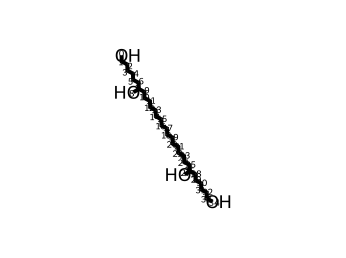 OCCCCCCC(O)CCCCCCCCCCCCCCCCCC(O)CCCCCCO